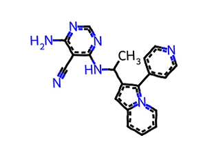 CC(Nc1ncnc(N)c1C#N)c1cc2ccccn2c1-c1ccncc1